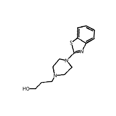 OCCCN1CCN(c2nc3ccccc3s2)CC1